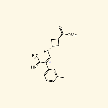 COC(=O)[C@H]1C[C@H](N/C=C(\C(=N)C(F)(F)F)c2cccc(C)n2)C1